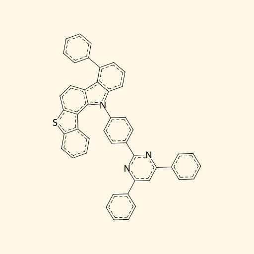 c1ccc(-c2cc(-c3ccccc3)nc(-c3ccc(-n4c5cccc(-c6ccccc6)c5c5ccc6sc7ccccc7c6c54)cc3)n2)cc1